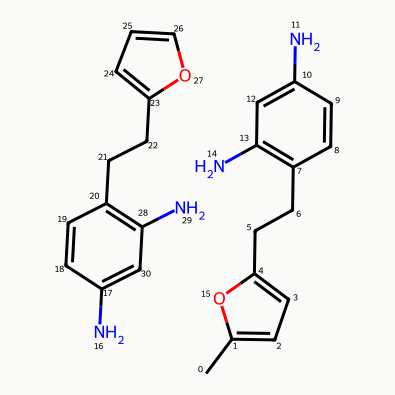 Cc1ccc(CCc2ccc(N)cc2N)o1.Nc1ccc(CCc2ccco2)c(N)c1